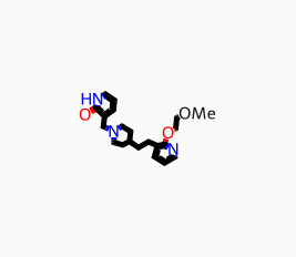 COCCOc1ncccc1CCC1CCN(Cc2ccc[nH]c2=O)CC1